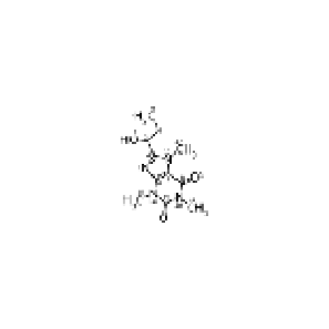 [CH2]CC(O)c1nc2c(c(=O)n(C)c(=O)n2C)n1C